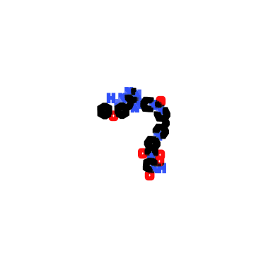 Nc1ncnc2c1c(-c1ccc(Oc3ccccc3)cc1)nn2C1CCN(C(=O)N2CCC(CC3CCN(c4ccc5c(c4)C(=O)N(C4CCC(=O)NC4=O)C5=O)CC3)CC2)CC1